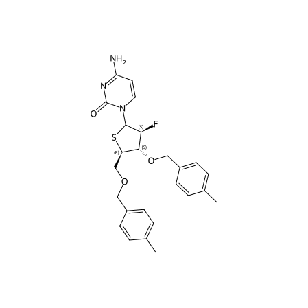 Cc1ccc(COC[C@H]2SC(n3ccc(N)nc3=O)[C@@H](F)[C@@H]2OCc2ccc(C)cc2)cc1